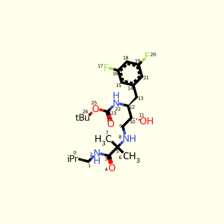 CC(C)CNC(=O)C(C)(C)NC[C@@H](O)[C@H](Cc1cc(F)cc(F)c1)NC(=O)OC(C)(C)C